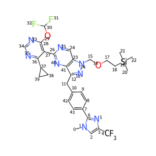 Cn1cc(C(F)(F)F)nc1-c1ccc(Cc2nn(COCC[Si](C)(C)C)c3cnc(-c4c(OC(F)F)ncnc4C4CC4)nc23)cc1